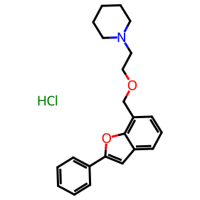 Cl.c1ccc(-c2cc3cccc(COCCN4CCCCC4)c3o2)cc1